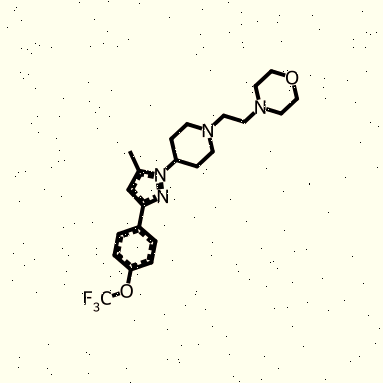 Cc1cc(-c2ccc(OC(F)(F)F)cc2)nn1C1CCN(CCN2CCOCC2)CC1